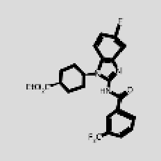 CCOC(=O)[C@H]1CC[C@@H](n2c(NC(=O)c3cccc(C(F)(F)F)c3)nc3cc(F)ccc32)CC1